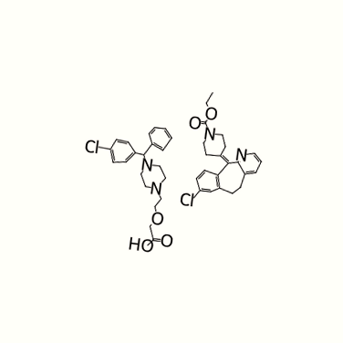 CCOC(=O)N1CCC(=C2c3ccc(Cl)cc3CCc3cccnc32)CC1.O=C(O)COCCN1CCN(C(c2ccccc2)c2ccc(Cl)cc2)CC1